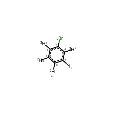 [2H]c1c([2H])c(Br)c([2H])c(I)c1[2H]